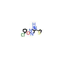 Clc1ccccc1Oc1ncc2c(-c3cccs3)n[nH]c2n1